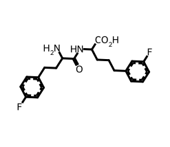 NC(CCc1ccc(F)cc1)C(=O)NC(CCCc1cccc(F)c1)C(=O)O